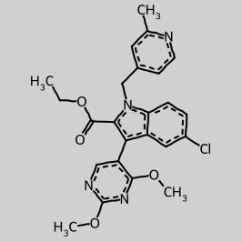 CCOC(=O)c1c(-c2cnc(OC)nc2OC)c2cc(Cl)ccc2n1Cc1ccnc(C)c1